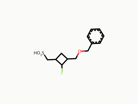 O=S(=O)(O)CC1CC(COCc2ccccc2)C1F